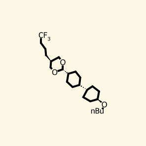 CCCCO[C@H]1CC[C@H](C2CCC([C@H]3OC[C@H](CCCC(F)(F)F)CO3)CC2)CC1